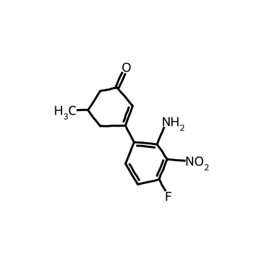 CC1CC(=O)C=C(c2ccc(F)c([N+](=O)[O-])c2N)C1